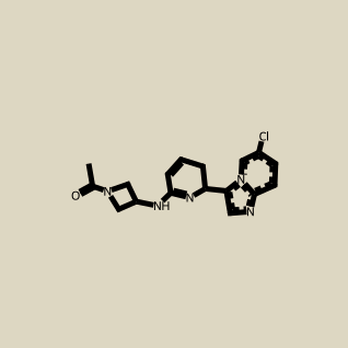 CC(=O)N1CC(NC2=NC(c3cnc4ccc(Cl)cn34)CC=C2)C1